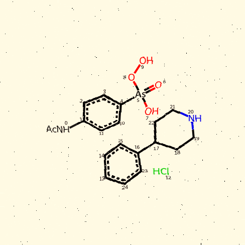 CC(=O)Nc1ccc([As](=O)(O)OO)cc1.Cl.c1ccc(C2CCNCC2)cc1